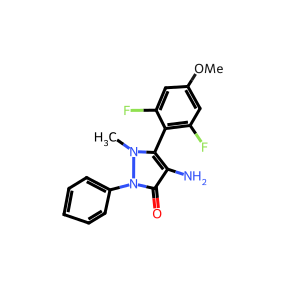 COc1cc(F)c(-c2c(N)c(=O)n(-c3ccccc3)n2C)c(F)c1